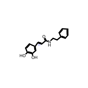 O=C(/C=C/c1ccc(O)c(O)c1)NCCc1ccccc1